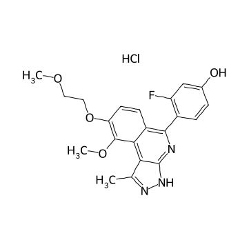 COCCOc1ccc2c(-c3ccc(O)cc3F)nc3[nH]nc(C)c3c2c1OC.Cl